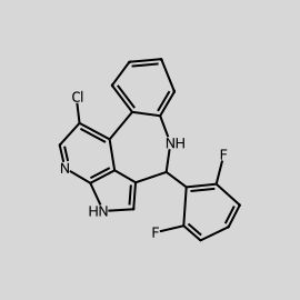 Fc1cccc(F)c1C1Nc2ccccc2-c2c(Cl)cnc3[nH]cc1c23